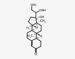 COC(COC(C)=O)[C@]1(O)CC[C@H]2[C@@H]3CCC4=CC(=O)CC[C@]4(C)[C@H]3CC[C@@]21C